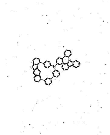 c1ccc(-c2cccc(-c3cccc(N(c4ccc(-c5ccccc5-n5c6ccccc6c6ccccc65)cc4)c4ccc(-c5cccc6oc7ccccc7c56)cc4)c3)c2)cc1